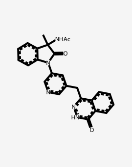 CC(=O)NC1(C)C(=O)N(c2cncc(Cc3n[nH]c(=O)c4ccccc34)c2)c2ccccc21